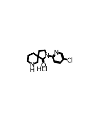 Cl.O=C1N(c2ccc(Cl)cn2)CCC12CCCNC2